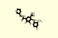 Cc1cc(I)ccc1Nc1c(C(=O)O)cc(C(=O)NCc2cccnc2)c(F)c1F